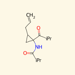 C=CCC1CC1(NC(=O)C(C)C)C(=O)C(C)C